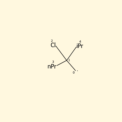 [CH2]C(Cl)(CCC)C(C)C